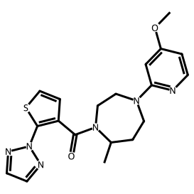 COc1ccnc(N2CCC(C)N(C(=O)c3ccsc3-n3nccn3)CC2)c1